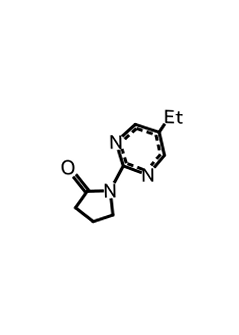 CCc1cnc(N2CCCC2=O)nc1